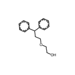 OCCOCCC(c1ccccc1)c1ccccc1